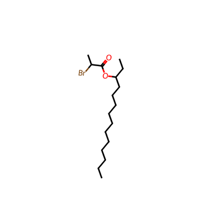 CCCCCCCCCCCC(CC)OC(=O)C(C)Br